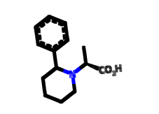 C[C@@H](C(=O)O)N1CCCCC1c1ccccc1